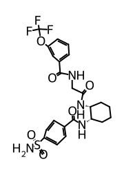 NS(=O)(=O)c1ccc(C(=O)N[C@H]2CCCC[C@H]2NC(=O)CNC(=O)c2cccc(OC(F)(F)F)c2)cc1